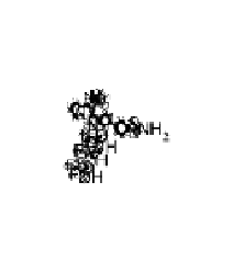 Nc1nc2ccc(-c3ccc4c(-c5c(-c6ccccn6)nn6c5CCC6)ccnc4c3)cc2s1.O=C(O)C(F)(F)F.O=C(O)C(F)(F)F.O=C(O)C(F)(F)F